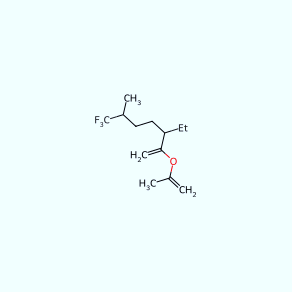 C=C(C)OC(=C)C(CC)CCC(C)C(F)(F)F